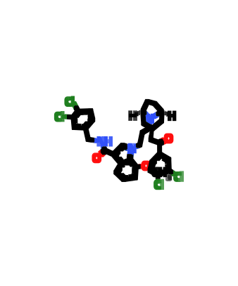 COc1cccc2c(C(=O)NCc3ccc(Cl)c(Cl)c3)cn(CCCN3[C@@H]4CC[C@H]3C[C@@H](CC(=O)c3ccc(Cl)c(Cl)c3)C4)c12